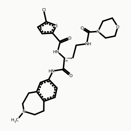 CN1CCc2ccc(NC(=O)[C@@H](CCNC(=O)N3CCOCC3)NC(=O)c3ccc(Cl)s3)cc2CC1